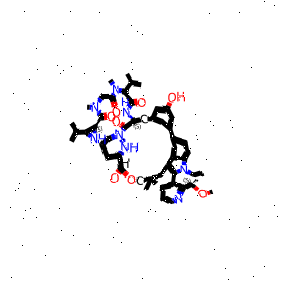 CCn1c(-c2cccnc2[C@H](C)OC)c2c3cc(ccc31)-c1cc(O)cc(c1)C[C@H](NC(=O)C(C(C)C)N(C)C(=O)CN(C)C(=O)[C@H]1NC1C(C)C)C(=O)N1CCC[C@H](N1)C(=O)OCC(C)(C)C2